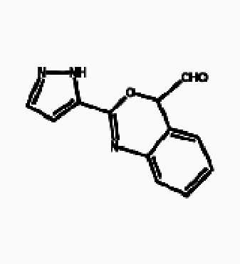 O=CC1OC(c2ccn[nH]2)=Nc2ccccc21